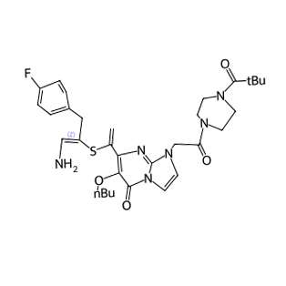 C=C(S/C(=C\N)Cc1ccc(F)cc1)c1nc2n(CC(=O)N3CCN(C(=O)C(C)(C)C)CC3)ccn2c(=O)c1OCCCC